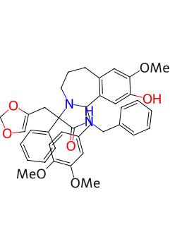 COc1cc2c(cc1O)C(Cc1ccc(OC)c(OC)c1)N(C(CC1=COCO1)(C(=O)NCc1ccccc1)c1ccccc1)CCC2